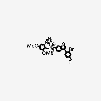 COc1ccc(CN(c2ncns2)S(=O)(=O)c2ccc3c(-c4ccc(CF)cc4Br)cn(C)c3c2)c(OC)c1